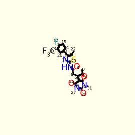 Cc1oc2c(c1CC(=O)Nc1nc(-c3ccc(F)c(C(F)(F)F)c3)c(C)s1)c(=O)n(C)c(=O)n2C